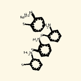 Nc1ccccc1[S-].Nc1ccccc1[S-].Nc1ccccc1[S-].Nc1ccccc1[S-].[Re+4]